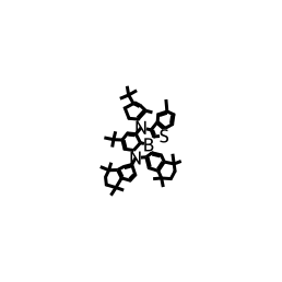 CC1=C(N2C3=CC(C(C)(C)C)=CC4C3B(c3cc5c(cc3N4c3ccc4c(c3)C(C)(C)CCC4(C)C)C(C)(C)CCC5(C)C)c3sc4ccc(C)cc4c32)CCC(C(C)(C)C)=C1